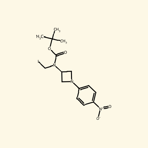 CC(C)(C)OC(=O)N(CI)C1CN(c2ccc([N+](=O)[O-])cc2)C1